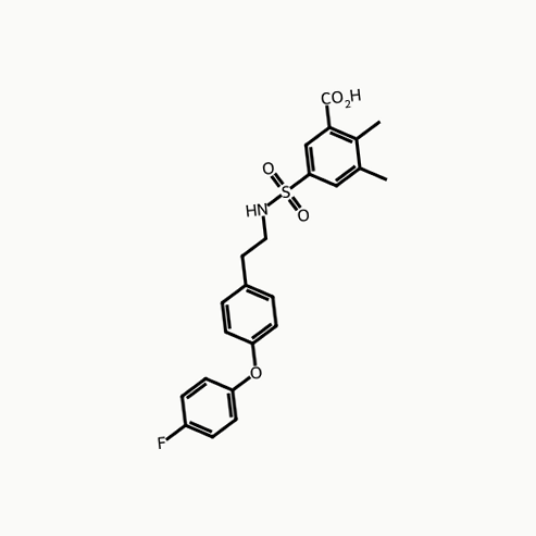 Cc1cc(S(=O)(=O)NCCc2ccc(Oc3ccc(F)cc3)cc2)cc(C(=O)O)c1C